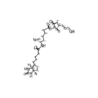 O=C(CCCCC1SC[C@@H]2NC(=O)N[C@H]12)NCCCCCC(=O)ON1C(=O)CC(SOOO)C1=O.[NaH]